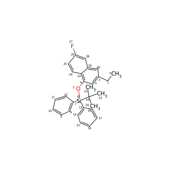 CCc1cc(O[Si](c2ccccc2)(c2ccccc2)C(C)(C)C)c2ccc(F)cc2c1